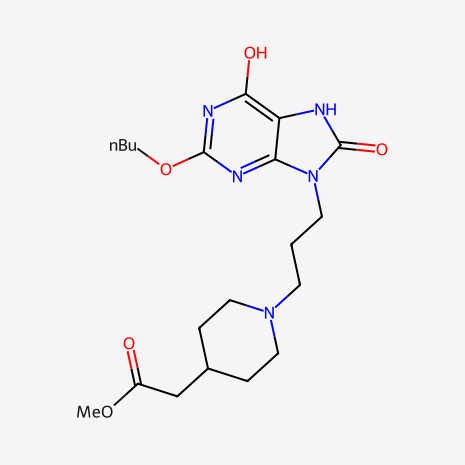 CCCCOc1nc(O)c2[nH]c(=O)n(CCCN3CCC(CC(=O)OC)CC3)c2n1